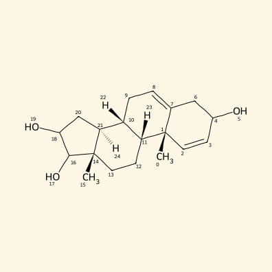 C[C@]12C=CC(O)CC1=CC[C@@H]1[C@H]2CC[C@]2(C)C(O)C(O)C[C@@H]12